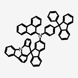 c1ccc(C2(c3ccc(N(c4ccc5c(c4)C4(c6ccccc6-5)c5ccccc5-n5c6ccccc6c6cccc4c65)c4cc5ccccc5c5ccccc45)cc3)c3ccccc3-c3ccccc32)cc1